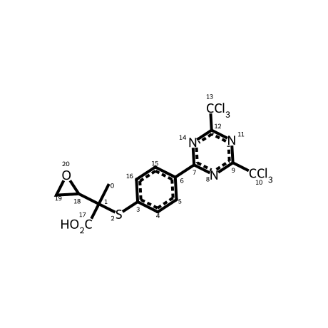 CC(Sc1ccc(-c2nc(C(Cl)(Cl)Cl)nc(C(Cl)(Cl)Cl)n2)cc1)(C(=O)O)C1CO1